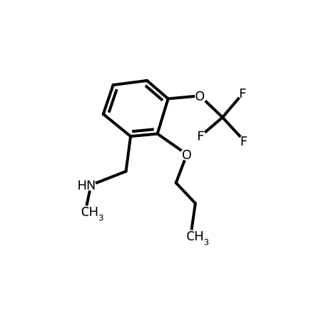 CCCOc1c(CNC)cccc1OC(F)(F)F